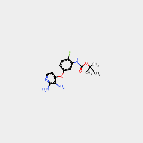 CC(C)(C)OC(=O)Nc1cc(Oc2ccnc(N)c2N)ccc1F